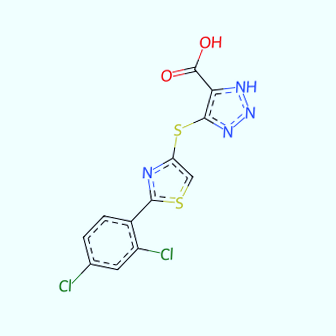 O=C(O)c1[nH]nnc1Sc1csc(-c2ccc(Cl)cc2Cl)n1